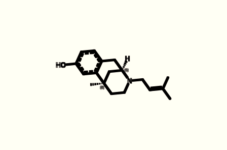 CC(C)=CCN1CC[C@]2(C)C[C@H]1Cc1ccc(O)cc12